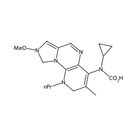 CCCN1CC(C)=C(N(C(=O)O)C2CC2)C2=C1N1CN(OC)C=C1C=N2